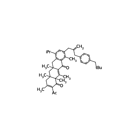 C=C(Cc1ccc(CC(C)(C)C)cc1)Cc1cc(C(C)C)c2c(c1C)C(=O)C1=C(C)C3(C)C(=O)C(C(C)=O)=C(C)CC3(C)CC1(C)C2